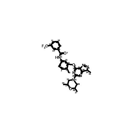 Cc1ccc(NC(=O)c2cccc(C(F)(F)F)c2)cc1Oc1nc(N2CC(C)OC(C)C2)nc2c1N=NC2C